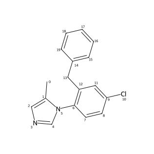 Cc1cncn1-c1ccc(Cl)cc1Cc1ccccc1